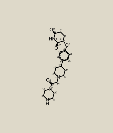 O=C1CC[C@@H](Oc2ccc(C3CCN(CC(=O)N4CCNCC4)CC3)cc2)C(=O)N1